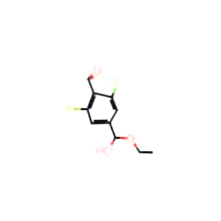 CCOC(O)c1cc(F)c(C=O)c(F)c1